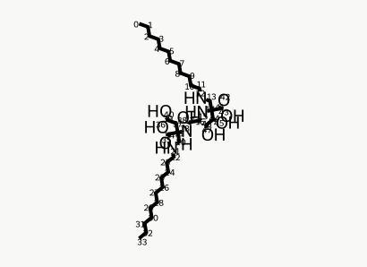 CCCCCCCCCCCCNCC(NCCNC(CNCCCCCCCCCCCC)(C(=O)O)C(O)CO)(C(=O)O)C(O)CO